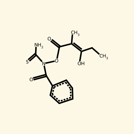 CCC(O)=C(C)C(=O)ON(C(=O)c1ccccc1)C(N)=S